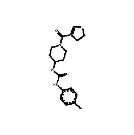 Cc1ccc(NC(=O)NC2CCN(C(=O)C3=COCC3)CC2)cc1